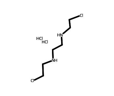 Cl.Cl.ClCCNCCNCCCl